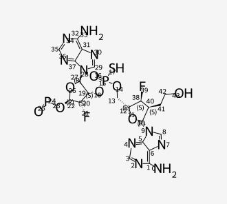 Nc1ncnc2c1ncn2[C@@H]1O[C@H](COP(=O)(S)O[C@@H]2[C@H](F)[C@@H](OP=O)O[C@H]2n2cnc3c(N)ncnc32)[C@@H](F)[C@H]1CCO